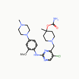 COc1cc(N2CCN(C)CC2)ccc1Nc1ncc(Cl)c(CN2CCC(C)(OC(N)=O)CC2)n1